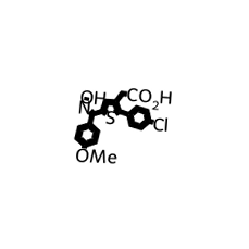 COc1ccc(C(=NO)c2cc(CC(=O)O)c(-c3ccc(Cl)cc3)s2)cc1